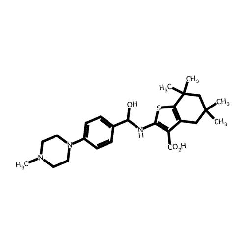 CN1CCN(c2ccc(C(O)Nc3sc4c(c3C(=O)O)CC(C)(C)CC4(C)C)cc2)CC1